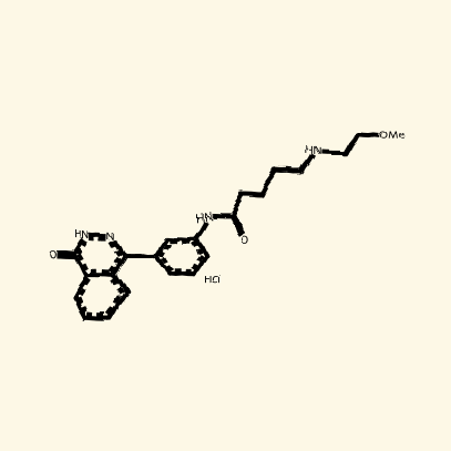 COCCNCCCCC(=O)Nc1cccc(-c2n[nH]c(=O)c3ccccc23)c1.Cl